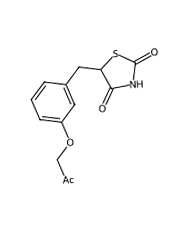 CC(=O)COc1cccc(CC2SC(=O)NC2=O)c1